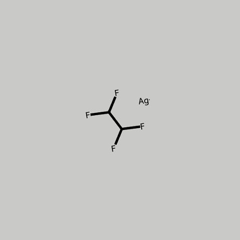 F[C](F)C(F)F.[Ag]